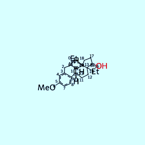 CC[C@@H]1Cc2cc(OC)ccc2[C@H]2CCC3(CC)[C@@H](O)CC[C@H]3[C@H]12